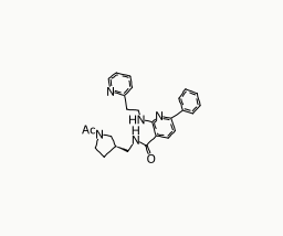 CC(=O)N1CC[C@H](CNC(=O)c2ccc(-c3ccccc3)nc2NCCc2ccccn2)C1